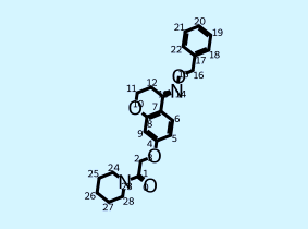 O=C(COc1ccc2c(c1)OCC/C2=N\OCc1ccccc1)N1CCCCC1